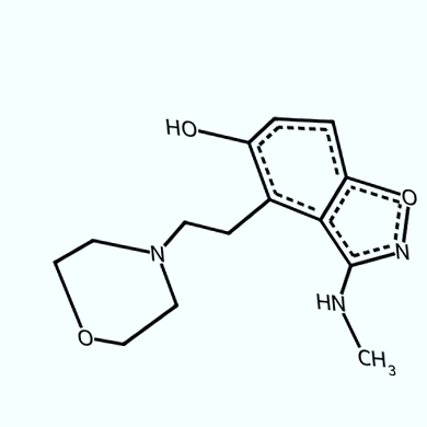 CNc1noc2ccc(O)c(CCN3CCOCC3)c12